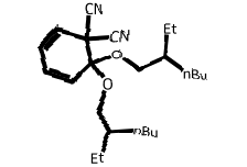 CCCCC(CC)COC1(OCC(CC)CCCC)C=CC=[C]C1(C#N)C#N